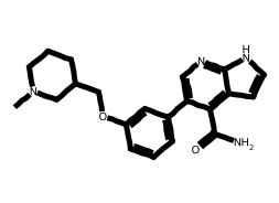 CN1CCCC(COc2cccc(-c3cnc4[nH]c[c]c4c3C(N)=O)c2)C1